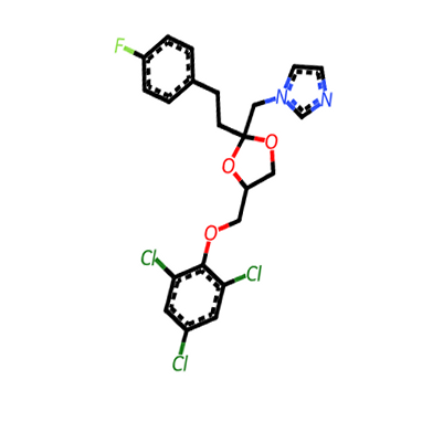 Fc1ccc(CCC2(Cn3ccnc3)OCC(COc3c(Cl)cc(Cl)cc3Cl)O2)cc1